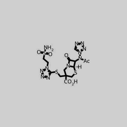 CC(=O)N(C1C(=O)N2CC(CSc3nnnn3CCS(N)(=O)=O)(C(=O)O)CS[C@H]12)n1cnnn1